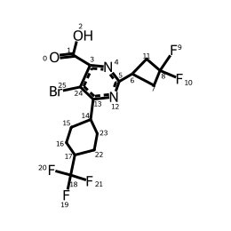 O=C(O)c1nc(C2CC(F)(F)C2)nc(C2CCC(C(F)(F)F)CC2)c1Br